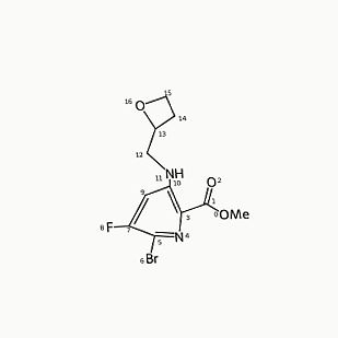 COC(=O)c1nc(Br)c(F)cc1NCC1CCO1